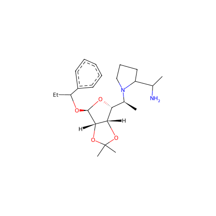 CCC(O[C@H]1O[C@H]([C@H](C)N2CCCC2C(C)N)[C@@H]2OC(C)(C)O[C@H]12)c1ccccc1